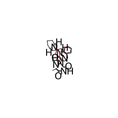 Cc1nn(-c2nc3ccccc3n(C3C[C@H]4CCC[C@@H](C3)N4[C@H]3C[C@@H]4CCCC[C@@H](C4)C3)c2=O)c(=O)[nH]c1=O